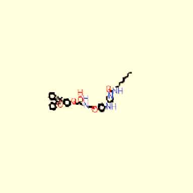 CCCCCCCCNC(=O)N1CCC(Nc2ccc(OCCNC[C@H](O)COc3ccc(O[Si](c4ccccc4)(c4ccccc4)C(C)(C)C)cc3)cc2)CC1